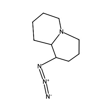 [N-]=[N+]=NC1CCCN2CCCCC12